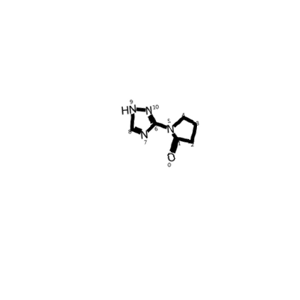 O=C1CCCN1c1nc[nH]n1